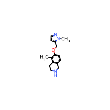 Cc1c(OCc2ccnn2C)ccc2c1CCNC2